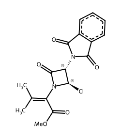 COC(=O)C(=C(C)C)N1C(=O)[C@H](N2C(=O)c3ccccc3C2=O)[C@H]1Cl